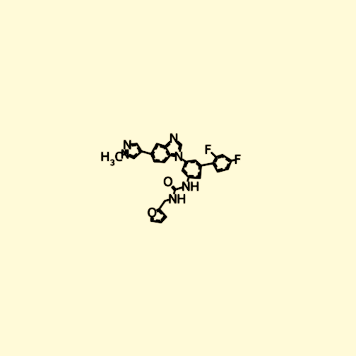 Cn1cc(-c2ccc3c(c2)ncn3-c2cc(NC(=O)NCc3ccco3)cc(-c3ccc(F)cc3F)c2)cn1